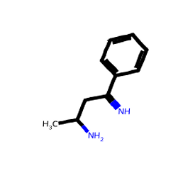 CC(N)CC(=N)c1c[c]ccc1